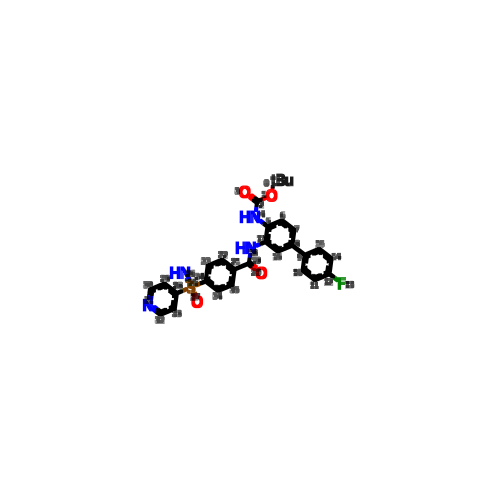 CC(C)(C)OC(=O)Nc1ccc(-c2ccc(F)cc2)cc1NC(=O)c1ccc(S(=N)(=O)c2ccncc2)cc1